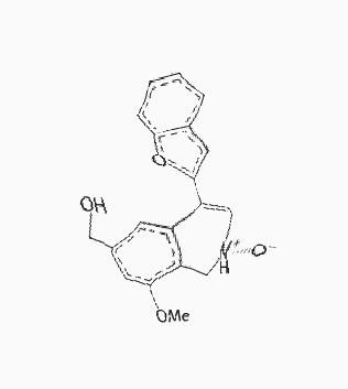 COc1cc(CO)cc2c1C[N@@H+]([O-])C=C2c1cc2ccccc2o1